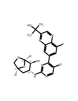 CC(C)(O)c1cnc2c(F)cc(-c3nc(N[C@@H]4C[C@H]5CO[C@H](O5)[C@H]4O)ncc3Cl)cc2n1